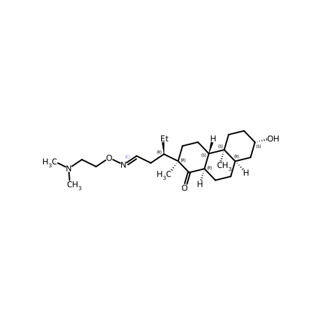 CC[C@H](C/C=N/OCCN(C)C)[C@@]1(C)CC[C@H]2[C@@H](CC[C@@H]3C[C@@H](O)CC[C@@]32C)C1=O